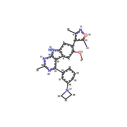 COc1cc2c(cc1-c1c(C)noc1C)[nH]c1nc(C)nc(-c3cccc(N4CCC4)c3)c12